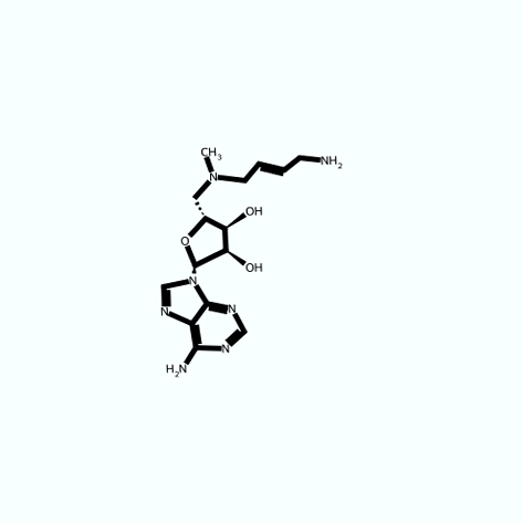 CN(C/C=C/CN)C[C@H]1O[C@@H](n2cnc3c(N)ncnc32)[C@H](O)[C@@H]1O